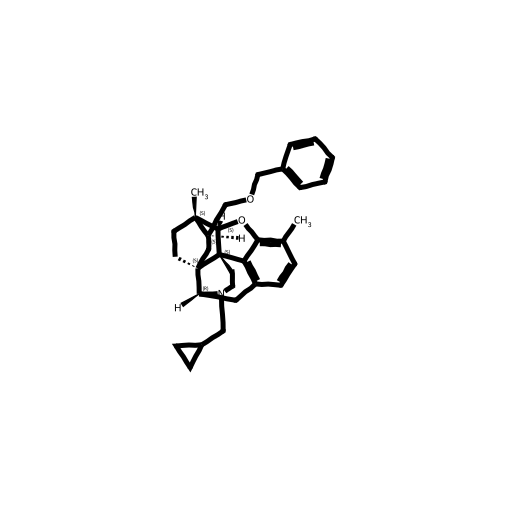 Cc1ccc2c3c1O[C@H]1[C@@]4(C)CC[C@@]5(C[C@@H]4COCc4ccccc4)[C@@H](C2)N(CC2CC2)CC[C@]315